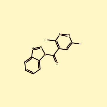 O=C(c1cc(Cl)nnc1Cl)n1nnc2ccccc21